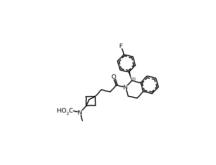 CN(C(=O)O)C12CC(CCC(=O)N3CCc4ccccc4[C@@H]3c3ccc(F)cc3)(C1)C2